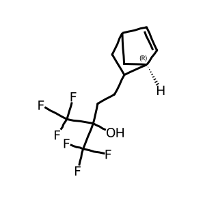 OC(CCC1CC2C=C[C@@H]1C2)(C(F)(F)F)C(F)(F)F